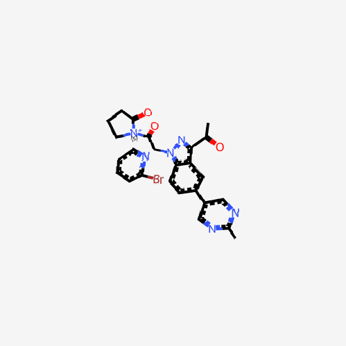 CC(=O)c1nn(CC(=O)[N@+]2(c3cccc(Br)n3)CCCC2=O)c2ccc(-c3cnc(C)nc3)cc12